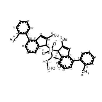 CCCCC1=Cc2c(-c3ccccc3C)cccc2[CH]1[Hf]([Cl])([Cl])([B](NC=O)NC=O)[CH]1C(CCCC)=Cc2c(-c3ccccc3C)cccc21